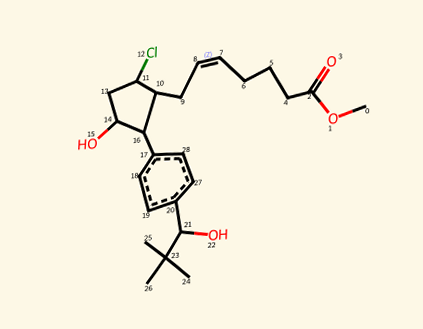 COC(=O)CCC/C=C\CC1C(Cl)CC(O)C1c1ccc(C(O)C(C)(C)C)cc1